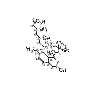 CCCC(C)(C)CO[C@H]1C[C@H](O)C=C2C=C[C@@H](C)[C@H](CC[C@@H](O)C[C@@H](O)CC(=O)O)[C@H]21